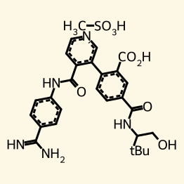 CC(C)(C)C(CO)NC(=O)c1ccc(-c2cnccc2C(=O)Nc2ccc(C(=N)N)cc2)c(C(=O)O)c1.CS(=O)(=O)O